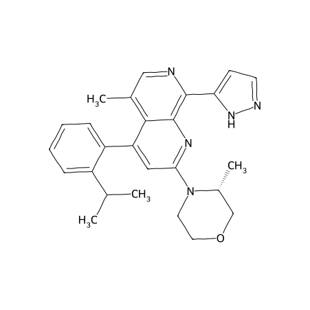 Cc1cnc(-c2ccn[nH]2)c2nc(N3CCOC[C@H]3C)cc(-c3ccccc3C(C)C)c12